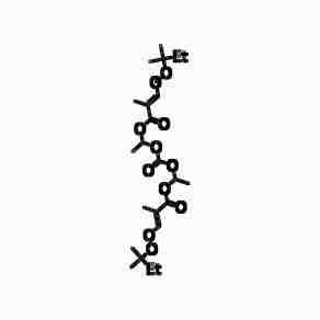 CCC(C)(C)OO/C=C(\C)C(=O)OC(C)OC(=O)OC(C)OC(=O)/C(C)=C/OOC(C)(C)CC